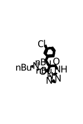 CCCCN(CCCC)CCCC.O=C1Nc2ncnn2C(=O)C1Cc1cccc(Cl)c1